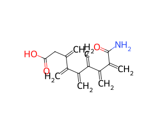 C=C(CC(=O)O)C(=C)C(=C)C(=C)C(=C)C(=C)C(N)=O